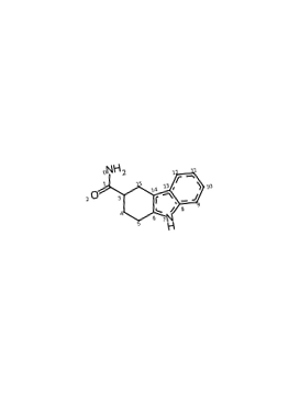 NC(=O)C1CCc2[nH]c3ccccc3c2C1